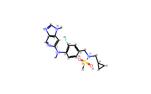 CN(c1cc2c(cn1)ncn2C)c1ccc(CN(CC2CC2)S(C)(=O)=O)cc1F